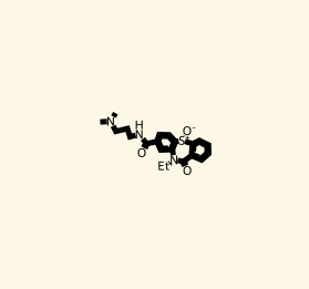 CCN1C(=O)c2ccccc2[S+]([O-])c2ccc(C(=O)NCCCN(C)C)cc21